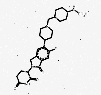 O=C(O)NC1CCC(CN2CCC(c3cc4c(cc3F)C(=O)N(C3CCC(=O)NC3=O)C4)CC2)CC1